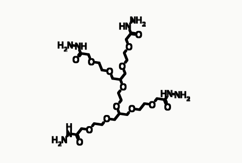 NNC(=O)COCCOCC(COCCOCC(=O)NN)OCCOC(COCCOCC(=O)NN)COCCOCC(=O)NN